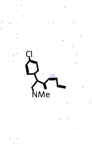 C=C/C=C\C(=C)C(CNC)C1C=CC(Cl)=CC1